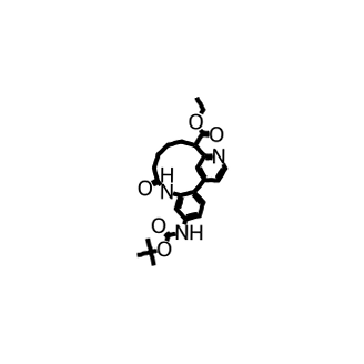 CCOC(=O)C1CCCCC(=O)Nc2cc(NC(=O)OC(C)(C)C)ccc2-c2ccnc1c2